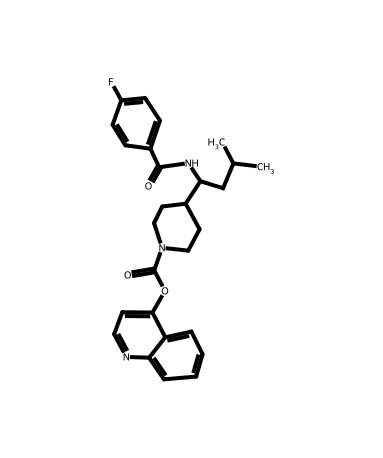 CC(C)CC(NC(=O)c1ccc(F)cc1)C1CCN(C(=O)Oc2ccnc3ccccc23)CC1